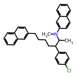 CC(C(CCCCc1ccc2ccccc2c1)c1ccc(Cl)cc1)N(C)c1ccc2ccccc2c1